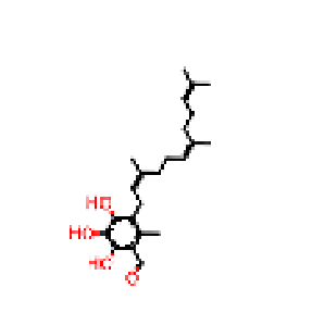 CC(C)=CCCC(C)=CCCC(C)=CCc1c(C)c(C=O)c(O)c(O)c1O